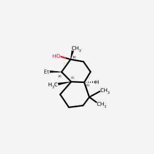 [CH2]C[C@@H]1[C@@]2(C)CCCC(C)(C)[C@@H]2CC[C@@]1(C)O